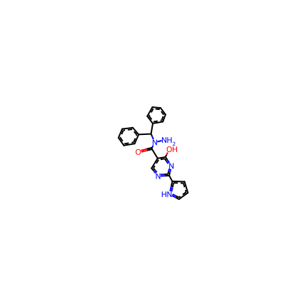 NN(C(=O)c1cnc(-c2ccc[nH]2)nc1O)C(c1ccccc1)c1ccccc1